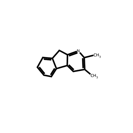 Cc1cc2c(nc1C)Cc1ccccc1-2